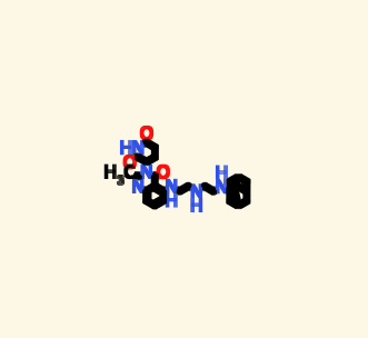 Cc1nc2cccc(NCCNCCNC34CC5CC(CC(C5)C3)C4)c2c(=O)n1C1CCC(=O)NC1=O